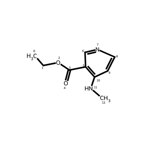 CCOC(=O)c1cnccc1NC